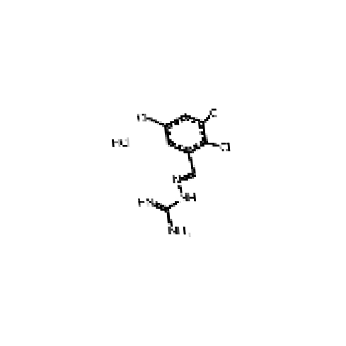 Cl.N=C(N)NN=Cc1cc(Cl)cc(Cl)c1Cl